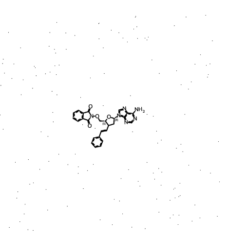 Nc1ncnc2c1ncn2[C@H]1CC(C=Cc2ccccc2)[C@@H](CON2C(=O)c3ccccc3C2=O)O1